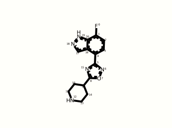 Fc1ccc(-c2noc(C3CCNCC3)n2)c2cn[nH]c12